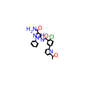 COC(C)c1cccc(-c2ccc(Cl)c(C(=O)Nc3cc(C(N)=O)nn3-c3ccccc3)c2)n1